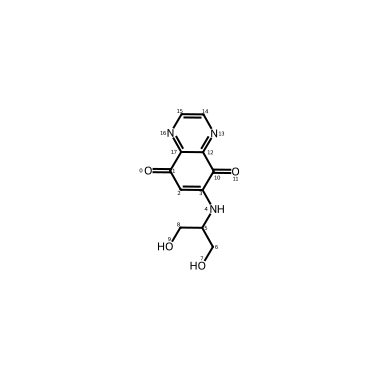 O=C1C=C(NC(CO)CO)C(=O)c2nccnc21